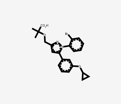 CC(C)(OCc1cc(-c2cccc(OC3CC3)c2)n(-c2ccccc2Br)n1)C(=O)O